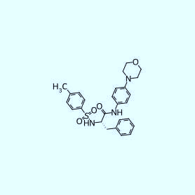 Cc1ccc(S(=O)(=O)N[C@@H](Cc2ccccc2)C(=O)Nc2ccc(N3CCOCC3)cc2)cc1